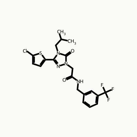 CC(C)Cn1c(-c2ccc(Cl)s2)nn(CC(=O)NCc2cccc(C(F)(F)F)c2)c1=O